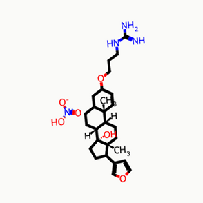 C[C@]12CCC(OCCCNC(=N)N)CC1CC[C@@H]1[C@H]2CC[C@]2(C)C(c3ccoc3)CC[C@@]12O.O=[N+]([O-])O